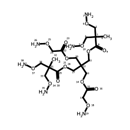 CC(CON)(CON)C(=O)OCC(COC(=O)CON)(COC(=O)CON)COC(=O)C(C)(CON)CON